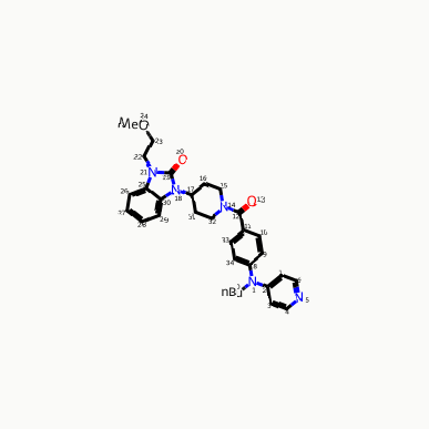 CCCCN(c1ccncc1)c1ccc(C(=O)N2CCC(n3c(=O)n(CCOC)c4ccccc43)CC2)cc1